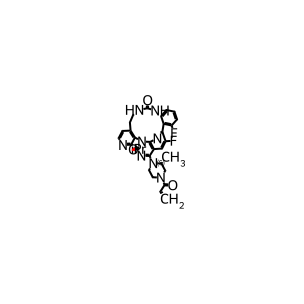 C=CC(=O)N1CCN(c2nc(=O)n3c4nc(c(F)cc24)-c2c(F)cccc2NC(=O)NCCc2ccnc(C(C)C)c2-3)[C@@H](C)C1